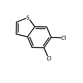 Clc1cc2ccsc2cc1Cl